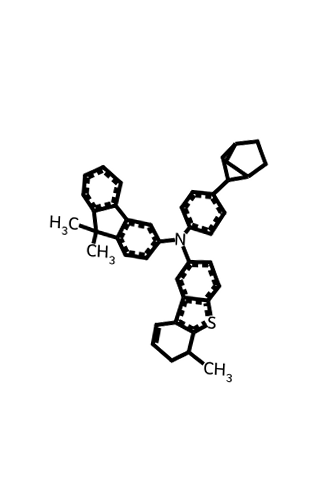 CC1CC=Cc2c1sc1ccc(N(c3ccc(C4CC5CCC4C5)cc3)c3ccc4c(c3)-c3ccccc3C4(C)C)cc21